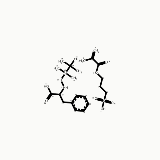 C=C(C)C(=O)OCCCS(=O)(=O)O.CC(C)(C)[Si](C)(C)ONC(Cc1ccccc1)C(=O)O